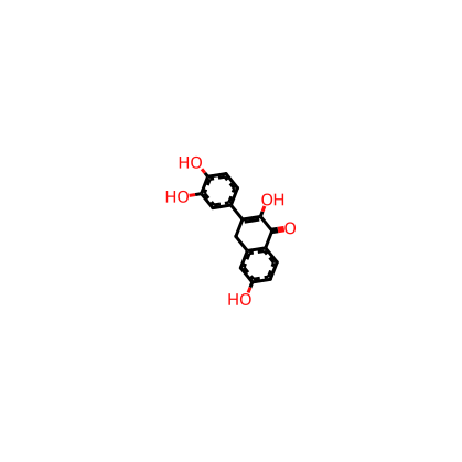 O=C1C(O)=C(c2ccc(O)c(O)c2)Cc2cc(O)ccc21